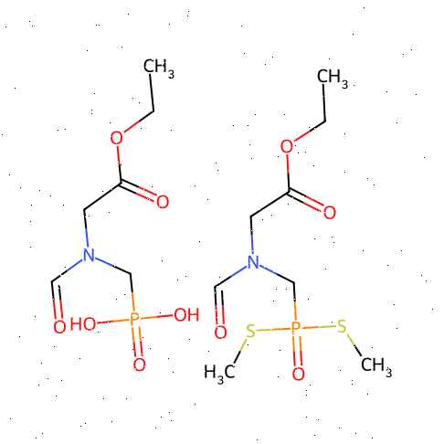 CCOC(=O)CN(C=O)CP(=O)(O)O.CCOC(=O)CN(C=O)CP(=O)(SC)SC